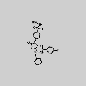 CC(C)(C)NS(=O)(=O)c1ccc(N2CC([C@H](Cc3ccccc3)NC(=O)c3ccc(F)cc3)OC2=O)cc1